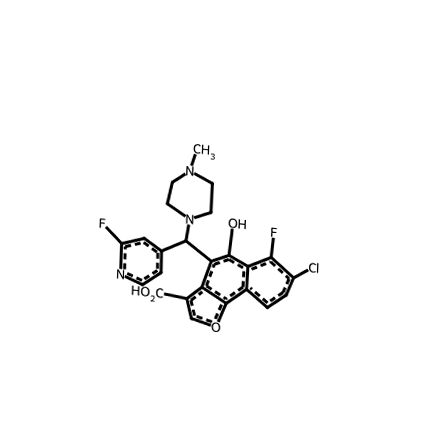 CN1CCN(C(c2ccnc(F)c2)c2c(O)c3c(F)c(Cl)ccc3c3occ(C(=O)O)c23)CC1